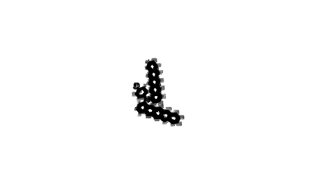 O=C1CCC(N(c2cccc3cc4cc5cc6ccccc6cc5cc4cc23)c2cccc3cc4cc5cc6ccccc6cc5cc4cc23)CC1